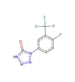 O=c1[nH]nnn1-c1ccc(F)c(C(F)(F)F)c1